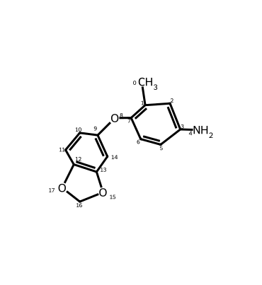 Cc1cc(N)ccc1Oc1ccc2c(c1)OCO2